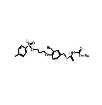 C=C(NCc1ccc(OCCCOS(=O)(=O)c2ccc(C)cc2)c(Br)c1)NC(=O)OC(C)(C)C